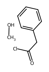 CO.O=C(Cl)Cc1ccccc1